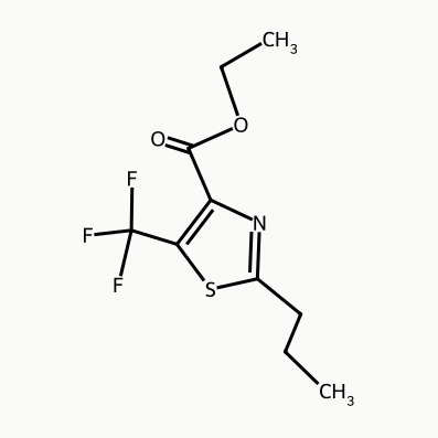 CCCc1nc(C(=O)OCC)c(C(F)(F)F)s1